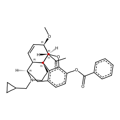 CO[C@]12C=C[C@@]3(C[C@@H]1C(C)=O)[C@H]1Cc4ccc(OC(=O)c5ccccc5)c5c4[C@@]3(CCN1CC1CC1)[C@H]2O5